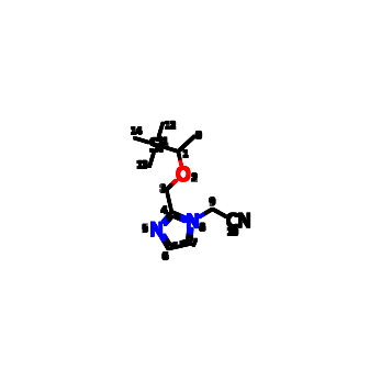 CC(OCc1nccn1CC#N)[Si](C)(C)C